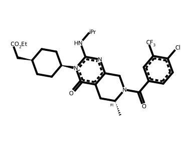 CCOC(=O)C[C@H]1CC[C@@H](n2c(NC(C)C)nc3c(c2=O)C[C@@H](C)N(C(=O)c2ccc(Cl)c(C(F)(F)F)c2)C3)CC1